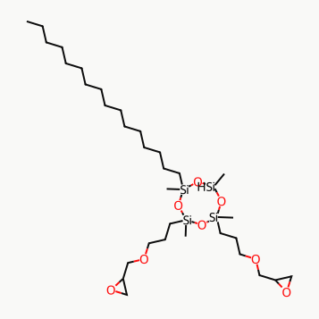 CCCCCCCCCCCCCCCC[Si]1(C)O[SiH](C)O[Si](C)(CCCOCC2CO2)O[Si](C)(CCCOCC2CO2)O1